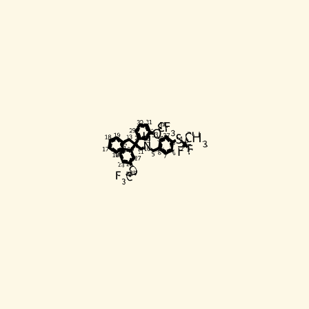 CC(F)(F)Sc1ccc(CNCC(Cc2ccccc2)(c2cccc(OC(F)(F)F)c2)c2cccc(OC(F)(F)F)c2)cc1